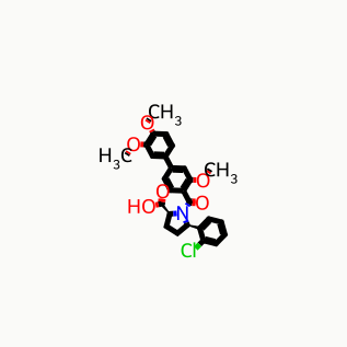 COc1ccc(-c2ccc(C(=O)N3[C@@H](c4ccccc4Cl)CC[C@H]3C(=O)O)c(OC)c2)cc1OC